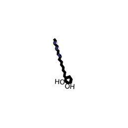 C/C=C/C=C/C/C=C/CCCCCCCc1cccc(O)c1O